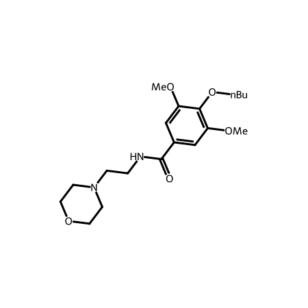 CCCCOc1c(OC)cc(C(=O)NCCN2CCOCC2)cc1OC